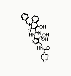 O=C(NCc1csc2c1S(O)(O)N=C(c1c(O)c3ccccc3n(Cc3ccccc3)c1=O)N2)N1CCOCC1